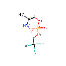 CC1=COP(=O)(OCC(F)(F)F)ON1